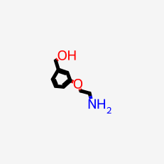 NCCOc1cccc(CO)c1